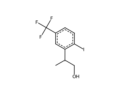 C[C](CO)c1cc(C(F)(F)F)ccc1I